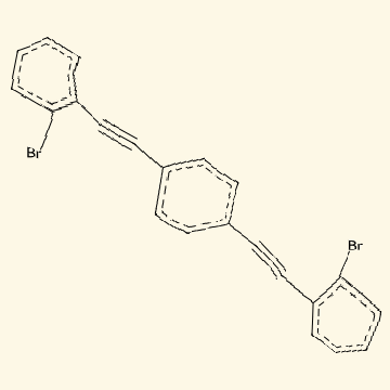 Brc1ccccc1C#Cc1ccc(C#Cc2ccccc2Br)cc1